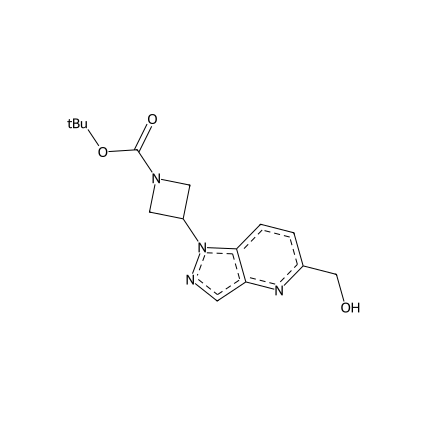 CC(C)(C)OC(=O)N1CC(n2ncc3nc(CO)ccc32)C1